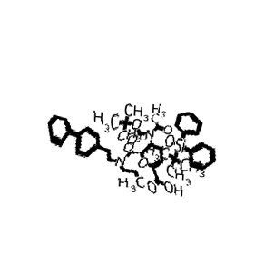 CCCN(CCc1ccc(-c2ccccc2)cc1)C(=O)[C@@H]1OC(C(=O)O)=C[C@@H](O[Si](c2ccccc2)(c2ccccc2)C(C)(C)C)[C@H]1N(C(C)=O)C(=O)OC(C)(C)C